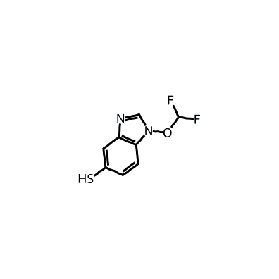 FC(F)On1cnc2cc(S)ccc21